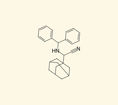 N#CC(NC(c1ccccc1)c1ccccc1)C12CC3CC(CC(C3)C1)C2